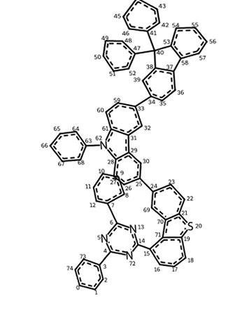 c1ccc(-c2nc(-c3ccccc3)nc(-c3cccc4sc5ccc(-c6ccc7c(c6)c6cc(-c8ccc9c(c8)C(c8ccccc8)(c8ccccc8)c8ccccc8-9)ccc6n7-c6ccccc6)cc5c34)n2)cc1